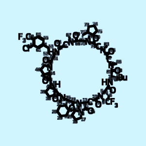 CC[C@H](C)[C@@H]1NC(=O)[C@H](CC(F)(F)F)N(C)C(=O)C[C@@H](C(=O)N2CCCC2)N(C)C(=O)[C@H](C2CCCCC2)N(C)C(=O)C2(CCCC2)NC(=O)[C@@H]2CCCN2C(=O)[C@H](CCc2ccc(C(F)(F)F)c(Cl)c2)NC(=O)CN(C)C(=O)[C@H](CC2CCCC2)N(C)C(=O)CN(C)C(=O)CN(C)C1=O